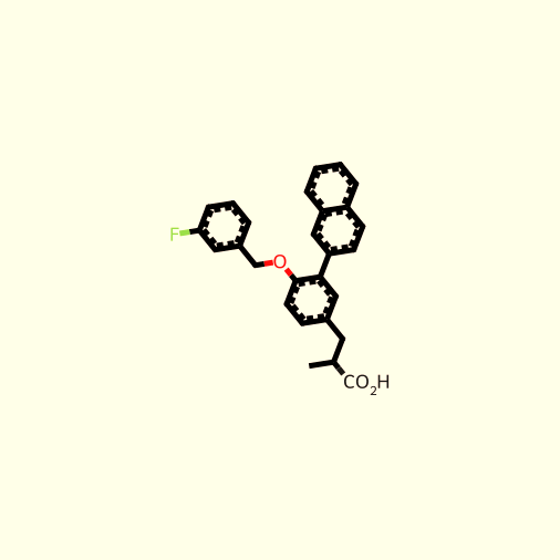 CC(Cc1ccc(OCc2cccc(F)c2)c(-c2ccc3ccccc3c2)c1)C(=O)O